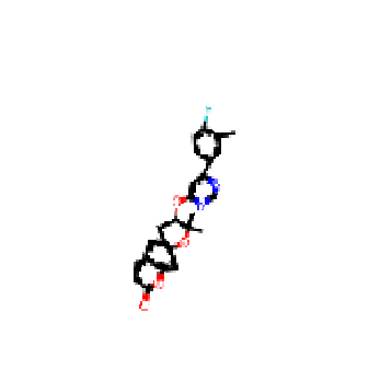 Cc1cc(-c2cc(O[C@H]3Cc4cc5ccc(=O)oc5cc4OC3(C)C)ncn2)ccc1F